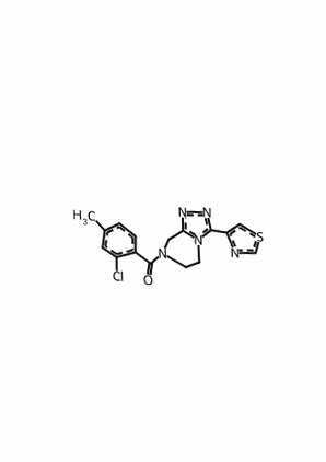 Cc1ccc(C(=O)N2CCn3c(nnc3-c3cscn3)C2)c(Cl)c1